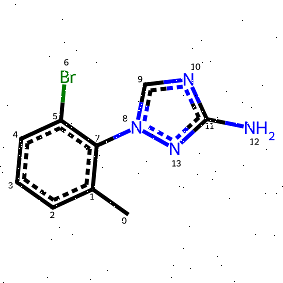 Cc1cccc(Br)c1-n1cnc(N)n1